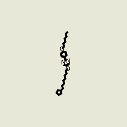 CCCCCCCOc1ccc(-c2ncc(OCCCCCCCCC3CCCC3)cn2)cc1